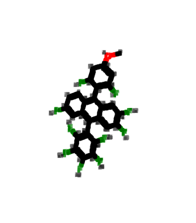 COc1cc(F)c(-c2c3ccc(F)cc3c(-c3c(F)c(F)c(F)c(F)c3F)c3cc(F)c(F)cc23)c(F)c1